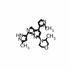 Cc1cc(-c2ncc3c(-c4ccnn4C)cc(N4CCOCC4C)nn23)[nH]n1